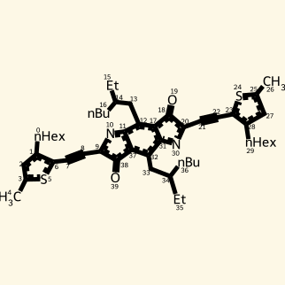 CCCCCCc1cc(C)sc1C#Cc1nc2c(CC(CC)CCCC)c3c(=O)c(C#Cc4sc(C)cc4CCCCCC)nc3c(CC(CC)CCCC)c2c1=O